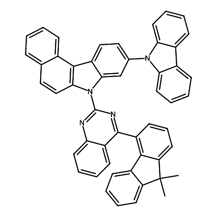 CC1(C)c2ccccc2-c2c(-c3nc(-n4c5cc(-n6c7ccccc7c7ccccc76)ccc5c5c6ccccc6ccc54)nc4ccccc34)cccc21